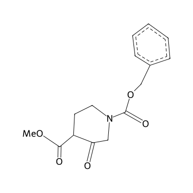 COC(=O)C1CCN(C(=O)OCc2ccccc2)CC1=O